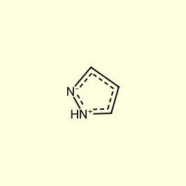 c1c[n-][nH+]c1